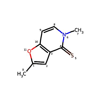 Cc1cc2c(=S)n(C)ccc2o1